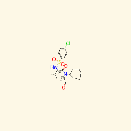 CC(C)[C@H](NS(=O)(=O)c1ccc(Cl)cc1)C(=O)N(C1CCCCC1)[C@@H](C)C=O